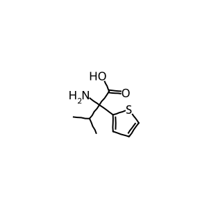 CC(C)C(N)(C(=O)O)c1cccs1